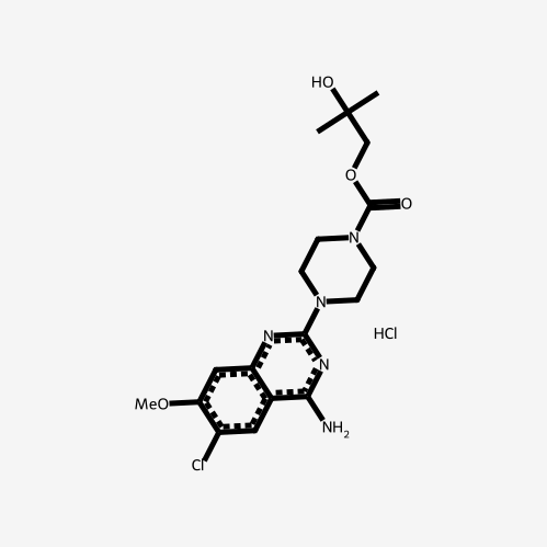 COc1cc2nc(N3CCN(C(=O)OCC(C)(C)O)CC3)nc(N)c2cc1Cl.Cl